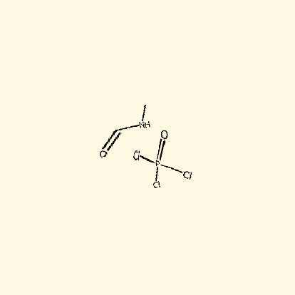 CNC=O.O=P(Cl)(Cl)Cl